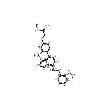 Cc1nc(CCC(=O)OI)ccc1-c1cnc(NCc2cccc3c2CCO3)n2cnnc12